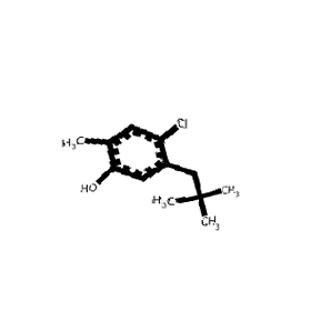 Cc1cc(Cl)c(CC(C)(C)C)cc1O